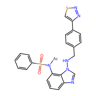 CC(=O)N(c1cccc2ncn(NCc3ccc(-c4csnn4)cc3)c12)S(=O)(=O)c1ccccc1